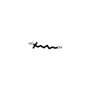 CC(C)(O)CCCCCCCO